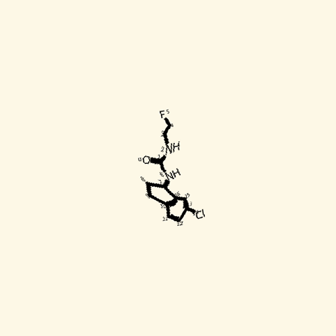 O=C(NCCF)NC1CCc2ccc(Cl)cc21